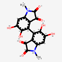 CN1C(=O)C(=O)c2c1cc(O)c(O)c2-c1c(O)c(O)cc2c1C(=O)C(=O)N2C